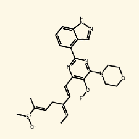 C/C=C(/C=C/c1nc(-c2cccc3[nH]ncc23)nc(N2CCOCC2)c1OF)C/C=C(\C)[S+](C)[O-]